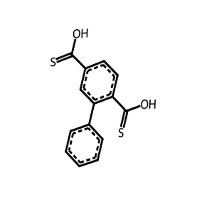 OC(=S)c1ccc(C(O)=S)c(-c2ccccc2)c1